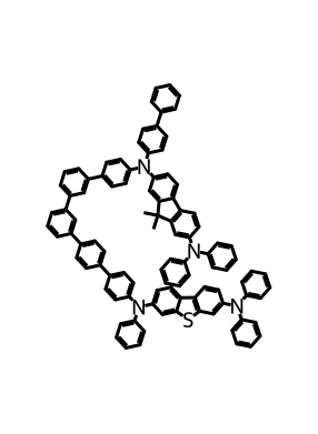 CC1(C)c2cc(N(c3ccccc3)c3ccccc3)ccc2-c2ccc(N(c3ccc(-c4ccccc4)cc3)c3ccc(-c4cccc(-c5cccc(-c6ccc(-c7ccc(N(c8ccccc8)c8ccc9c(c8)sc8cc(N(c%10ccccc%10)c%10ccccc%10)ccc89)cc7)cc6)c5)c4)cc3)cc21